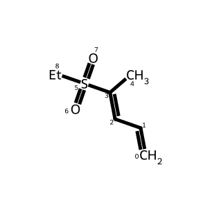 C=C/C=C(\C)S(=O)(=O)CC